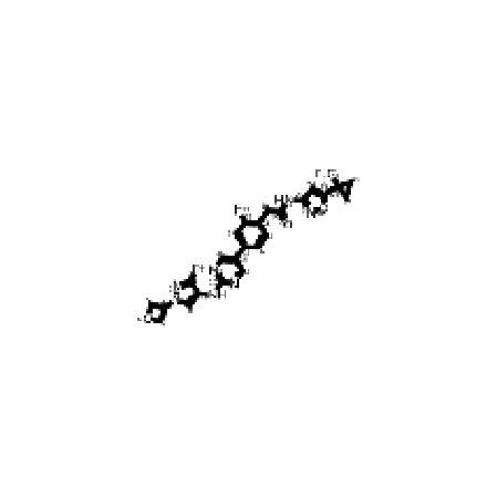 CCc1nn(C2COC2)cc1Nc1ncc(-c2ccc(CC(=O)Nc3cc(C4(C(F)(F)F)CC4)on3)c(F)c2)cn1